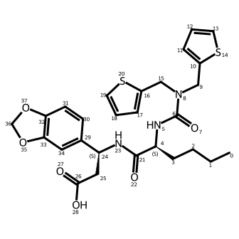 CCCC[C@H](NC(=O)N(Cc1cccs1)Cc1cccs1)C(=O)N[C@@H](CC(=O)O)c1ccc2c(c1)OCO2